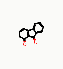 O=C1CC=CC2=C1C(=O)c1ccccc12